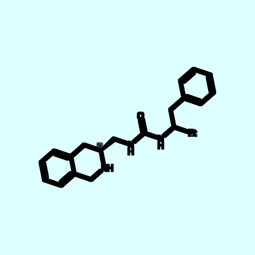 CCC(Cc1ccccc1)NC(=O)NC[C@@H]1Cc2ccccc2CN1